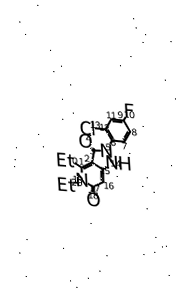 CCc1c2c(=O)n(-c3ccc(F)cc3Cl)[nH]c2cc(=O)n1CC